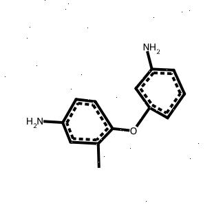 Cc1cc(N)ccc1Oc1cccc(N)c1